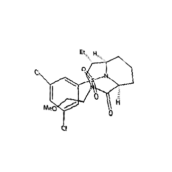 CC[C@H]1CN(CCOC)C(=O)[C@@H]2CCC[C@H]1N2S(=O)(=O)c1cc(Cl)cc(Cl)c1